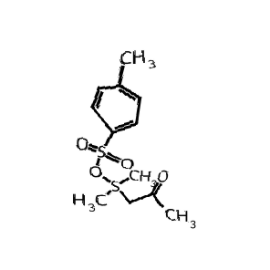 CC(=O)CS(C)(C)OS(=O)(=O)c1ccc(C)cc1